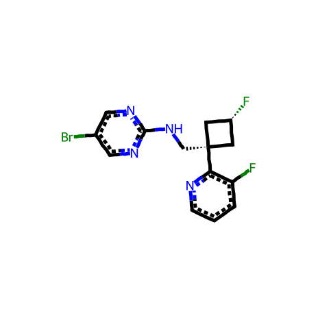 Fc1cccnc1[C@]1(CNc2ncc(Br)cn2)C[C@@H](F)C1